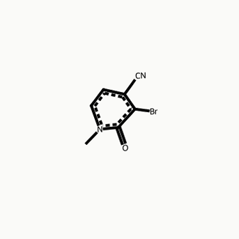 Cn1ccc(C#N)c(Br)c1=O